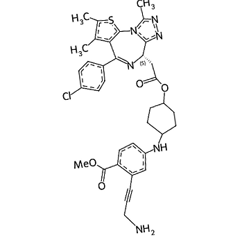 COC(=O)c1ccc(NC2CCC(OC(=O)C[C@@H]3N=C(c4ccc(Cl)cc4)c4c(sc(C)c4C)-n4c(C)nnc43)CC2)cc1C#CCN